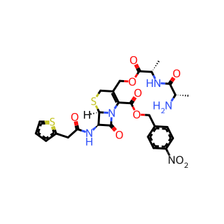 C[C@H](N)C(=O)N[C@@H](C)C(=O)OCC1=C(C(=O)OCc2ccc([N+](=O)[O-])cc2)N2C(=O)[C@@H](NC(=O)Cc3cccs3)[C@H]2SC1